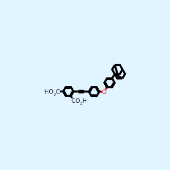 O=C(O)c1ccc(C#Cc2ccc(Oc3ccc(C45CC6CC(CC(C6)C4)C5)cc3)cc2)c(C(=O)O)c1